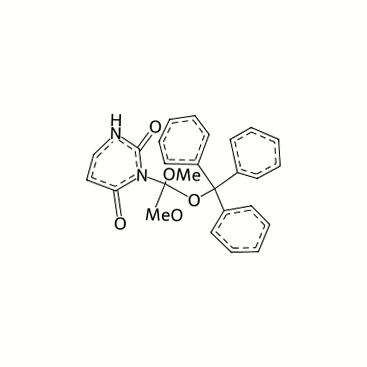 COC(OC)(OC(c1ccccc1)(c1ccccc1)c1ccccc1)n1c(=O)cc[nH]c1=O